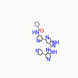 O=C(Nc1cncc(-c2cc3c(-c4nc5c(-c6ccncc6)cncc5[nH]4)n[nH]c3cn2)c1)C1CCCC1